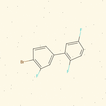 Fc1[c]cc(F)c(-c2ccc(Br)c(F)c2)c1